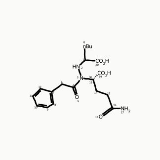 CCCCC(NN(C(=O)Cc1ccccc1)[C@@H](CCC(N)=O)C(=O)O)C(=O)O